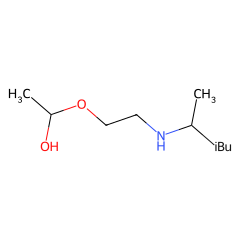 CCC(C)C(C)NCCOC(C)O